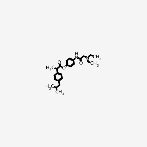 CCN(CC)CC(=O)Nc1ccc(OC(=O)C(C)c2ccc(CC(C)C)cc2)cc1